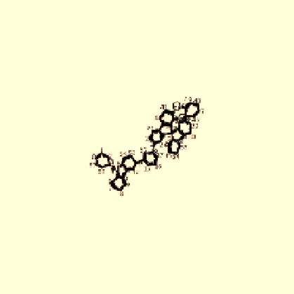 c1ccc(-n2c3ccccc3c3cc(-c4cccc(-c5ccc6c(c5)C5(c7ccccc7-c7ccccc75)c5c-6ccc6c5Oc5ccccc5O6)c4)ccc32)cc1